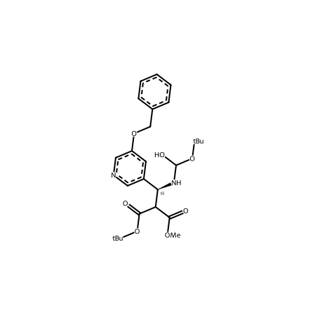 COC(=O)C(C(=O)OC(C)(C)C)[C@H](NC(O)OC(C)(C)C)c1cncc(OCc2ccccc2)c1